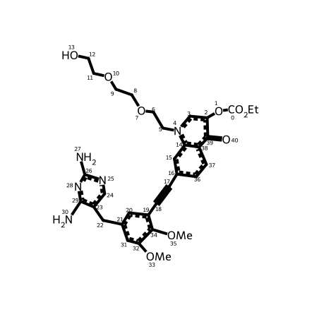 CCOC(=O)Oc1cn(CCOCCOCCO)c2cc(C#Cc3cc(Cc4cnc(N)nc4N)cc(OC)c3OC)ccc2c1=O